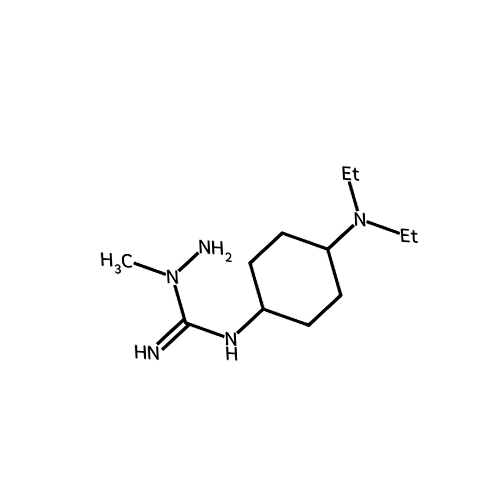 CCN(CC)C1CCC(NC(=N)N(C)N)CC1